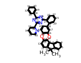 CC1(C)c2ccccc2-c2c1ccc1c2Oc2cc(-c3ccccc3-c3nc(-c4ccccc4)nc(-c4ccccn4)n3)ccc2O1